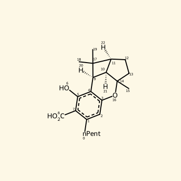 CCCCCc1cc2c(c(O)c1C(=O)O)[C@@H]1[C@H]3[C@H](CCC3(C)O2)C1(C)C